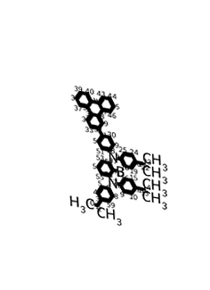 CC(C)c1ccc(N2c3ccc(C(C)C)cc3B3c4cc(C(C)C)ccc4N(c4ccc(-c5ccc6c7ccccc7c7ccccc7c6c5)cc4)c4cccc2c43)cc1